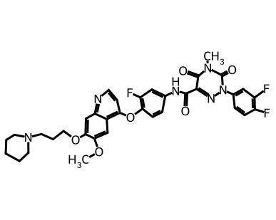 COc1cc2c(Oc3ccc(NC(=O)c4nn(-c5ccc(F)c(F)c5)c(=O)n(C)c4=O)cc3F)ccnc2cc1OCCCN1CCCCC1